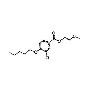 CCCCCOc1ccc(C(=O)OCCOC)cc1Cl